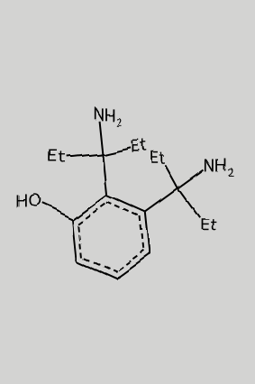 CCC(N)(CC)c1cccc(O)c1C(N)(CC)CC